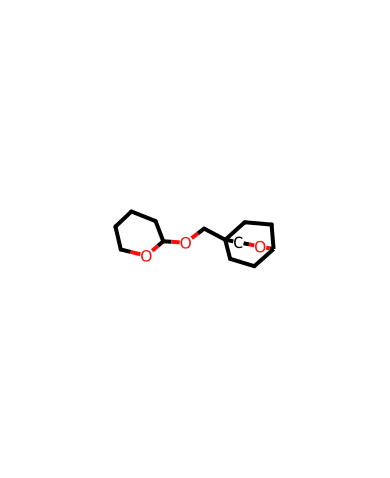 C1CCC(OCC23CCC(CC2)OC3)OC1